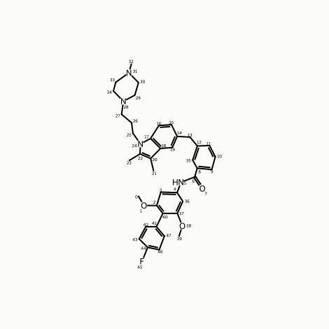 COc1cc(NC(=O)c2cccc(Cc3ccc4c(c3)c(C)c(C)n4CCCN3CCN(C)CC3)c2)cc(OC)c1-c1ccc(F)cc1